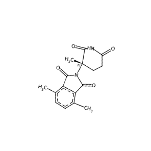 Cc1ccc(C)c2c1C(=O)N([C@@]1(C)CCC(=O)NC1=O)C2=O